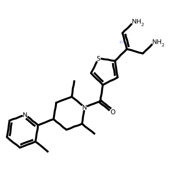 Cc1cccnc1C1CC(C)N(C(=O)c2csc(/C(=C/N)CN)c2)C(C)C1